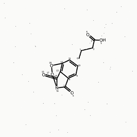 CCCC(=O)O.O=C1c2cccc3c2C(=O)N1OO3